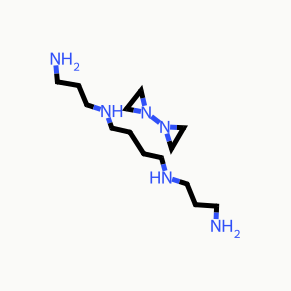 C1CN1N1CC1.NCCCNCCCCNCCCN